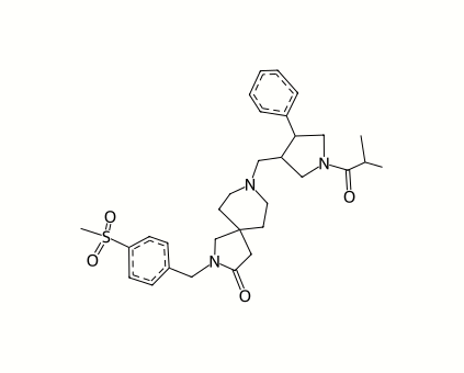 CC(C)C(=O)N1CC(CN2CCC3(CC2)CC(=O)N(Cc2ccc(S(C)(=O)=O)cc2)C3)C(c2ccccc2)C1